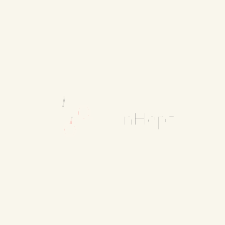 CCCCCCCCCCOC(=O)C(C)=C(C)C